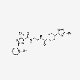 CC(C)c1nnc(C2CCC(C(=O)NCCNC(=O)c3cn(-c4ccccc4O)nc3C(F)(F)F)CC2)o1